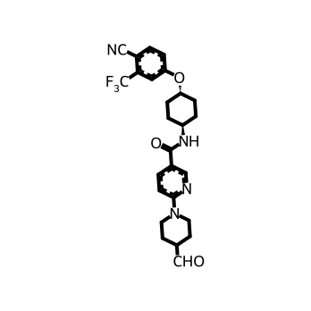 N#Cc1ccc(O[C@H]2CC[C@H](NC(=O)c3ccc(N4CCC(C=O)CC4)nc3)CC2)cc1C(F)(F)F